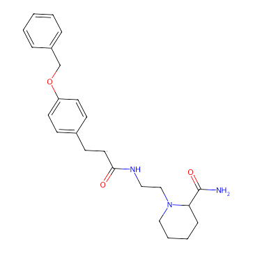 NC(=O)C1CCCCN1CCNC(=O)[CH]Cc1ccc(OCc2ccccc2)cc1